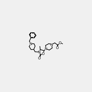 COC(=O)CN1CCN(C2OC(=O)N(CC3CCN(Cc4ccccc4)CC3)C2C)CC1